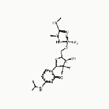 CNC(=O)[C@H](C)NP(N)(=O)OCC1OC(n2ccc(NC(C)C)nc2=O)C(F)(F)[C@@H]1O